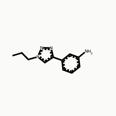 CCCn1cc(-c2cccc(N)c2)nn1